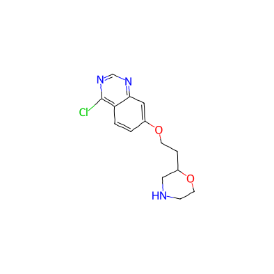 Clc1ncnc2cc(OCCC3CNCCO3)ccc12